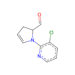 O=CC1CC=CN1c1ncccc1Cl